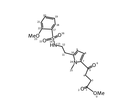 COC(=O)CCC(=O)c1ccc(CCNS(=O)(=O)c2ccccc2OC)n1C